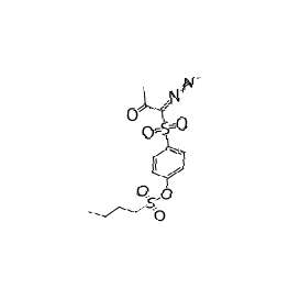 CCCCS(=O)(=O)Oc1ccc(S(=O)(=O)C(=[N+]=[N-])C(C)=O)cc1